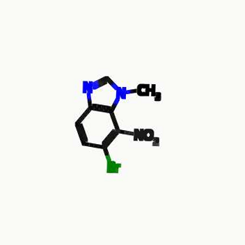 Cn1cnc2ccc(Br)c([N+](=O)[O-])c21